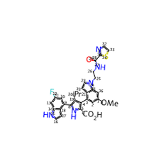 COc1cc(-c2c(C(=O)O)[nH]c(-c3cc(F)cc4[nH]ccc34)c2C(C)C)c2ccn(CCNC(=O)c3nccs3)c2c1